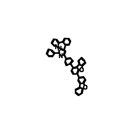 c1ccc(-c2nc(-c3ccc(-c4ccc(-c5ccc6oc7ccccc7c6c5)c5oc6ccccc6c45)cc3)cc(-c3ccccc3-c3ccccn3)n2)cc1